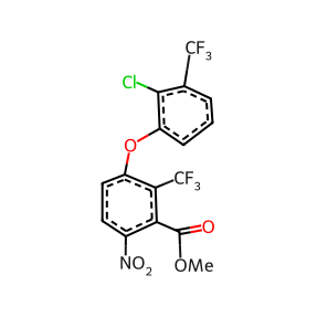 COC(=O)c1c([N+](=O)[O-])ccc(Oc2cccc(C(F)(F)F)c2Cl)c1C(F)(F)F